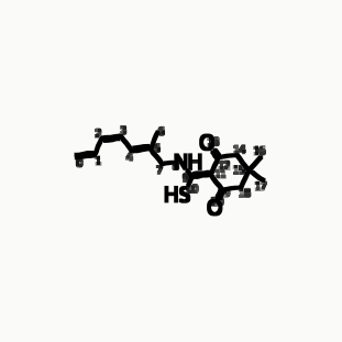 C=C/C=C\C=C(/C)CNC(S)=C1C(=O)CC(C)(C)CC1=O